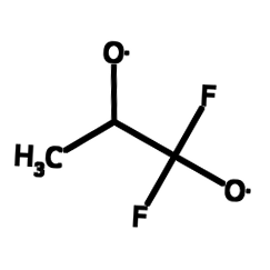 CC([O])C([O])(F)F